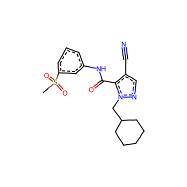 CS(=O)(=O)c1cccc(NC(=O)c2c(C#N)cnn2CC2CCCCC2)c1